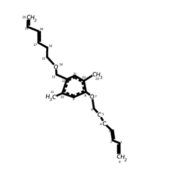 C=C/C=C/CCCOc1cc(C)c(COCC/C=C/C=C)cc1C